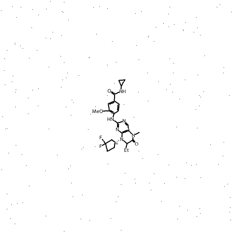 CCC1C(=O)N(C)c2cnc(Nc3ccc(C(=O)NC4CC4)cc3OC)nc2N1[C@@H]1CCC(F)(F)C1